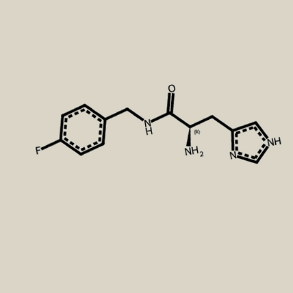 N[C@H](Cc1c[nH]cn1)C(=O)NCc1ccc(F)cc1